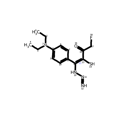 CCN(CC)c1ccc(/C(NN=N)=C(/S)C(=O)CF)cc1